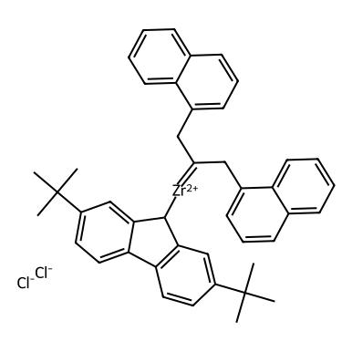 CC(C)(C)c1ccc2c(c1)[CH]([Zr+2]=[C](Cc1cccc3ccccc13)Cc1cccc3ccccc13)c1cc(C(C)(C)C)ccc1-2.[Cl-].[Cl-]